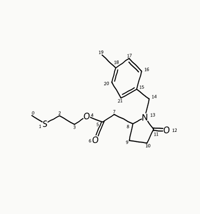 CSCCOC(=O)CC1CCC(=O)N1Cc1ccc(C)cc1